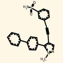 Cn1ncc(C#Cc2cccc(S(N)(=O)=O)c2)c1-c1ccc(-c2ccccc2)cc1